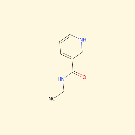 N#CCNC(=O)C1=CC=CNC1